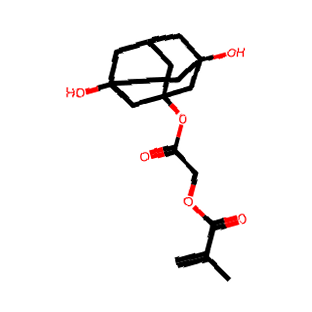 C=C(C)C(=O)OCC(=O)OC12CC3CC(O)(CC(O)(C3)C1)C2